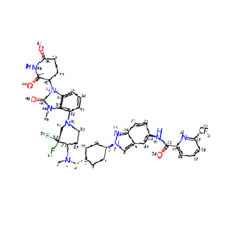 CN(C[C@H]1CC[C@H](n2cc3cc(NC(=O)c4cccc(C(F)(F)F)n4)ccc3n2)CC1)C1CCN(c2cccc3c2n(C)c(=O)n3C2CCC(=O)NC2=O)CC1(F)F